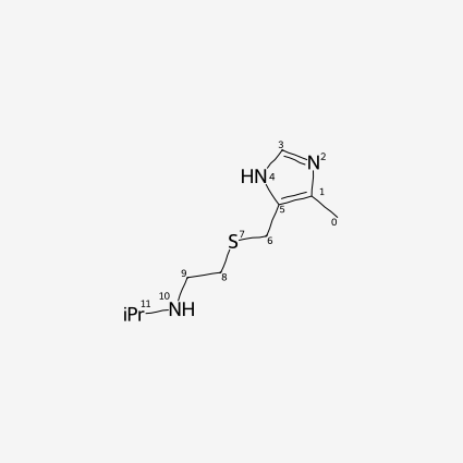 Cc1nc[nH]c1CSCCNC(C)C